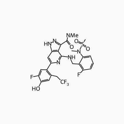 CNC(=O)c1n[nH]c2cc(-c3cc(F)c(O)cc3CC(F)(F)F)nc(NCc3c(F)cccc3N(C)S(C)(=O)=O)c12